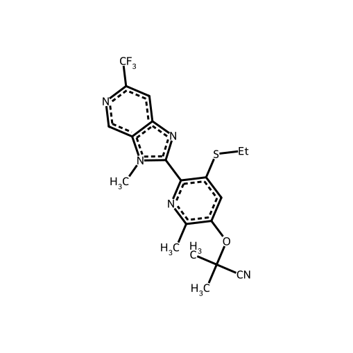 CCSc1cc(OC(C)(C)C#N)c(C)nc1-c1nc2cc(C(F)(F)F)ncc2n1C